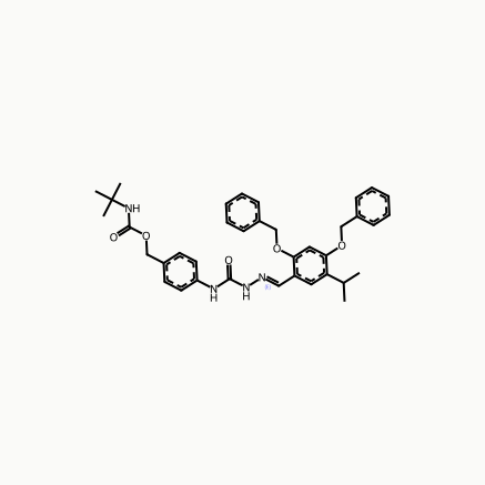 CC(C)c1cc(/C=N/NC(=O)Nc2ccc(COC(=O)NC(C)(C)C)cc2)c(OCc2ccccc2)cc1OCc1ccccc1